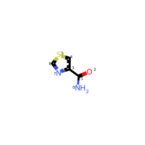 NC(=O)c1cscn1